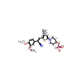 COc1ccc(/C(C#N)=C/c2ccc(N3CCC(OP(=O)([O-])[O-])CC3)s2)cc1OC.[Na+].[Na+]